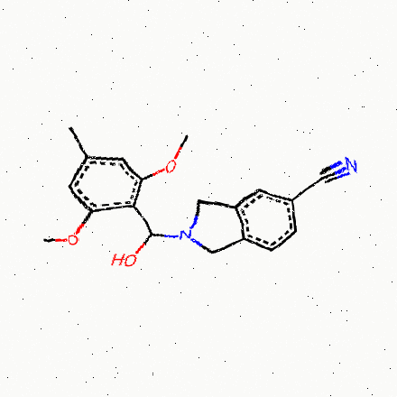 COc1cc(C)cc(OC)c1C(O)N1Cc2ccc(C#N)cc2C1